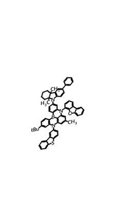 Cc1cc2c3c(c1)N(c1cccc4c1oc1ccccc14)c1cc(N4c5ccc(-c6ccccc6)cc5C5(C)CCCCC45C)ccc1B3c1ccc(C(C)(C)C)cc1N2c1ccc2sc3ccccc3c2c1